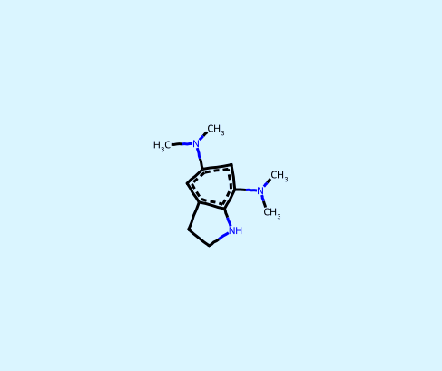 CN(C)c1cc2c(c(N(C)C)c1)NCC2